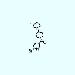 C[C@@H]1CCCN(C2CCN(C(=O)c3ccc(Br)nc3)CC2)C1